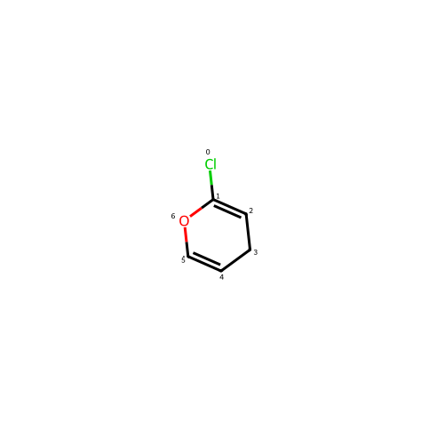 ClC1=CCC=[C]O1